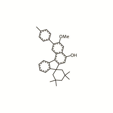 COc1cc2c(O)cc3c(c2cc1-c1ccc(C)cc1)-c1ccccc1C31CC(C)(C)CC(C)(C)C1